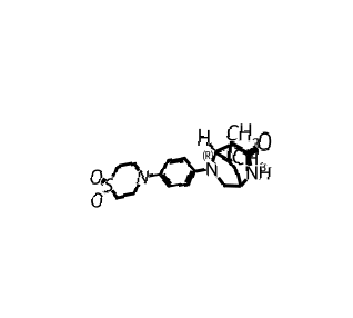 CC1(C)CC2CN(c3ccc(N4CCS(=O)(=O)CC4)cc3)[C@@H]1CC(=O)N2